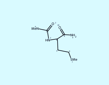 CNC(=O)NC(CCSC)C(N)=O